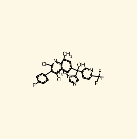 Cc1cc(C(O)(c2ccc(C(F)(F)F)nc2)c2cncn2C)cc2c(Cl)c(-c3ccc(F)cc3)c(Cl)nc12